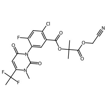 Cn1c(C(C)(F)F)cc(=O)n(-c2cc(C(=O)OC(C)(C)C(=O)OCC#N)c(Cl)cc2F)c1=O